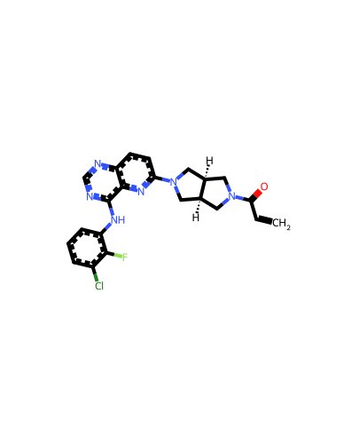 C=CC(=O)N1C[C@@H]2CN(c3ccc4ncnc(Nc5cccc(Cl)c5F)c4n3)C[C@@H]2C1